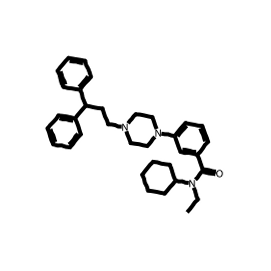 CCN(C(=O)c1cccc(N2CCN(CCC(c3ccccc3)c3ccccc3)CC2)c1)C1CCCCC1